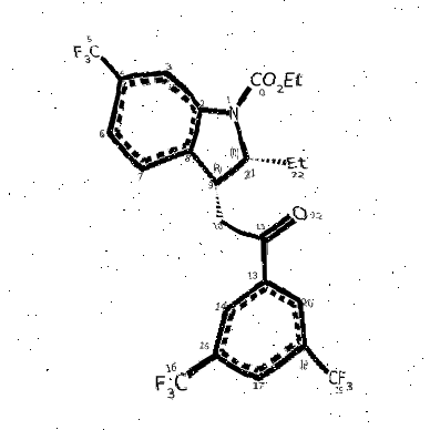 CCOC(=O)N1c2cc(C(F)(F)F)ccc2[C@@H](CC(=O)c2cc(C(F)(F)F)cc(C(F)(F)F)c2)[C@H]1CC